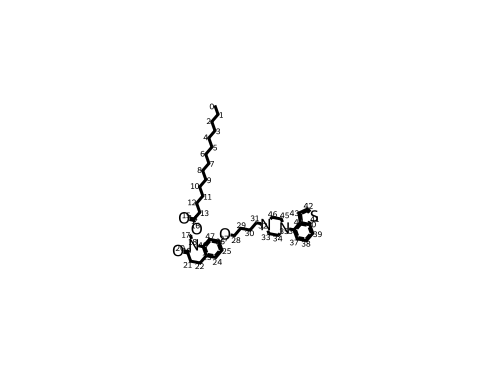 CCCCCCCCCCCCCCC(=O)OCN1C(=O)CCc2ccc(OCCCCN3CCN(c4cccc5sccc45)CC3)cc21